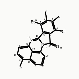 CCc1c(C)c(C)c(Cl)c2c1C1=Nc3ccc(C)c4cccc(c34)N1C2=O